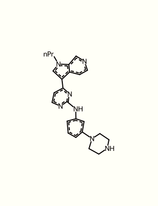 CCCn1cc(-c2ccnc(Nc3cccc(N4CCNCC4)c3)n2)c2ccncc21